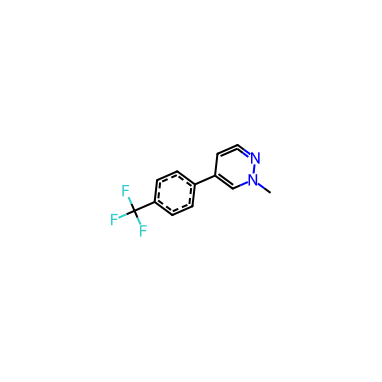 CN1C=C(c2ccc(C(F)(F)F)cc2)C=C=N1